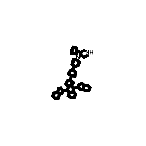 C1=Cc2c(c3ccccc3n2-c2ccc(-c3ccc(-c4ccc5c(-c6ccc7ccccc7c6)c6ccccc6c(-c6ccc7ccccc7c6)c5c4)cc3)cc2)CN1